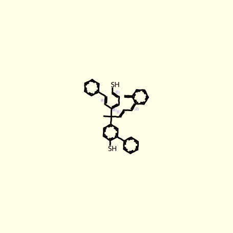 C=c1cccc/c1=C/C=C/C(C)(C(/C=C/c1ccccc1)=C/C=C/S)c1ccc(S)c(-c2ccccc2)c1